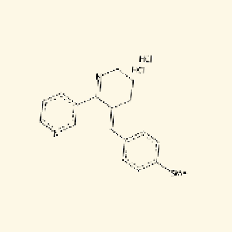 CSc1ccc(C=C2CCCN=C2c2cccnc2)cc1.Cl.Cl